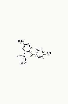 CC(C)(C)OC(=O)c1cc(N)ccc1Oc1ccc(C#N)cc1